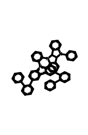 c1ccc(-c2ccccc2-c2ccc3c(c2)c2cc(-c4ccccc4-c4ccccc4)ccc2n3-c2ccccc2N2c3ccccc3C3C2c2ccccc2N3c2ccccc2)cc1